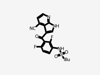 CCC(C)S(=O)(=O)Nc1ccc(F)c(C(=O)c2c[nH]c3nccc(C#N)c23)c1F